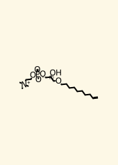 C=CCCCCCCCCOC[C@@H](O)COP(=O)([O-])OCC[N+](C)(C)C